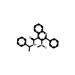 CC(NC(=O)c1c([S+](C)[O-])c(-c2ccccc2)nc2ccccc12)c1ccccc1